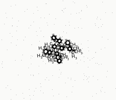 Cc1cc2c3c(c1)N(c1cccc4c1sc1ccccc14)c1cc(N4c5ccc(C(C)(C)C)cc5C5(C)CCCCC45C)ccc1B3c1cc3c(cc1N2c1cc2c(cc1C)C(C)(C)CCC2(C)C)C(C)(C)c1ccccc1C3(C)C